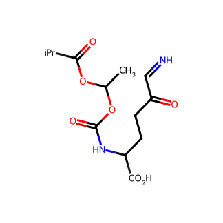 CC(OC(=O)NC(CCC(=O)C=N)C(=O)O)OC(=O)C(C)C